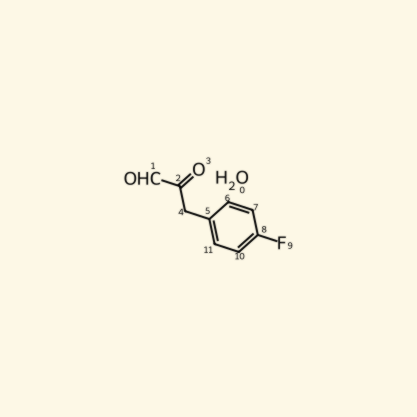 O.O=CC(=O)Cc1ccc(F)cc1